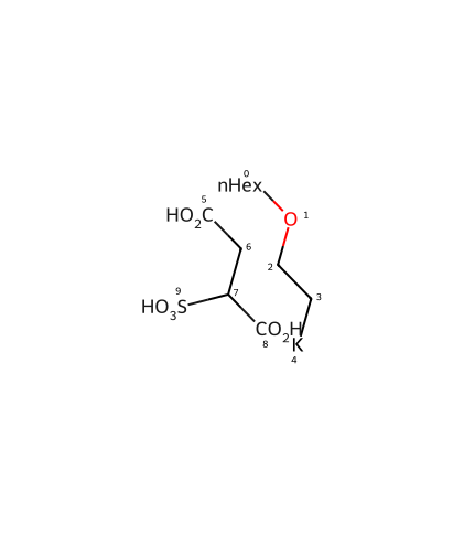 CCCCCCOC[CH2][K].O=C(O)CC(C(=O)O)S(=O)(=O)O